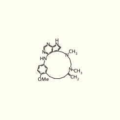 C=C1CCCCc2cc(ccc2OC)Nc2ncnc3[nH]cc(c23)CN(C)CCN1C